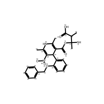 CC1=C(C(=O)OC(C)(S)C(C)C(=O)O)C(c2ccccc2OCc2ccccc2)C([N+](=O)[O-])=C(C)N1